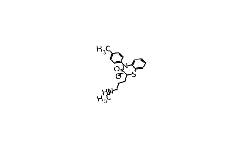 CNCCCC1Sc2ccccc2N(c2ccc(C)cc2)S1(=O)=O